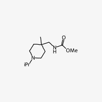 COC(=O)NCC1(C)CCN(C(C)C)CC1